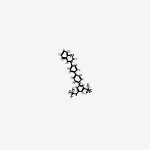 FC(F)(F)Cc1cc(-c2ccc(-c3ccc(-c4cnc5ccccc5c4)cc3)cc2)cc(C(F)(F)F)c1